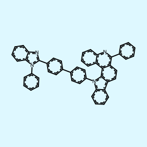 c1ccc(-c2nc3ccccc3c3c2ccc2c4ccccc4n(-c4ccc(-c5ccc(-c6nc7ccccc7n6-c6ccccc6)cc5)cc4)c23)cc1